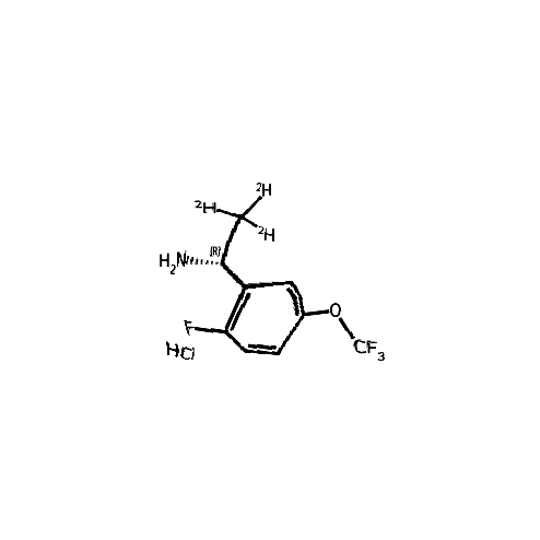 Cl.[2H]C([2H])([2H])[C@@H](N)c1cc(OC(F)(F)F)ccc1F